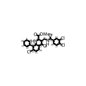 COC(=O)c1[nH]c2c(-c3ccccc3)c(Cl)ccc2c(=O)c1CNC(=O)c1ccc(Cl)c(Cl)c1